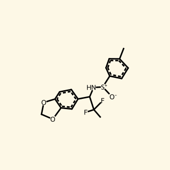 Cc1ccc([S+]([O-])NC(c2ccc3c(c2)OCO3)C(C)(F)F)cc1